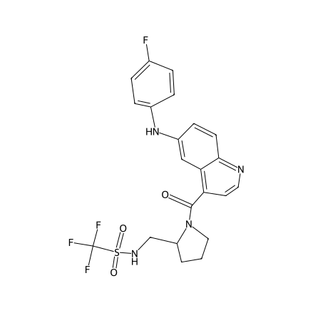 O=C(c1ccnc2ccc(Nc3ccc(F)cc3)cc12)N1CCCC1CNS(=O)(=O)C(F)(F)F